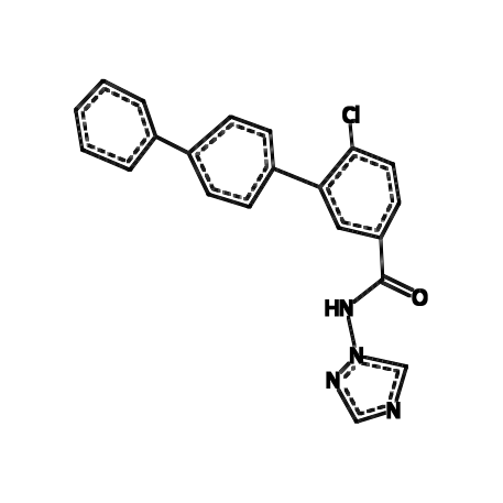 O=C(Nn1cncn1)c1ccc(Cl)c(-c2ccc(-c3ccccc3)cc2)c1